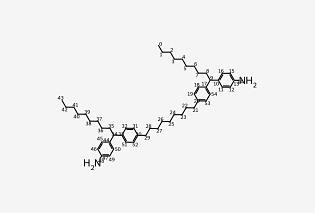 CCCCCCCCCC(c1ccc(N)cc1)c1ccc(CCCCCCCCCc2ccc(C(CCCCCCCCC)c3ccc(N)cc3)cc2)cc1